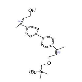 C/C(=C/CO)c1ccc(-c2ccc(/C(C)=C\COC[Si](C)(C)C(C)(C)C)cc2)cc1